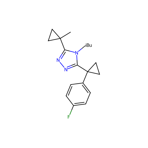 CCC(C)n1c(C2(C)CC2)nnc1C1(c2ccc(F)cc2)CC1